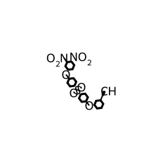 C#Cc1cccc(Oc2ccc(S(=O)(=O)c3ccc(Oc4ccc([N+](=O)[O-])c([N+](=O)[O-])c4)cc3)cc2)c1